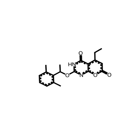 CCc1cc(=O)oc2nc(OC(C)c3c(C)cccc3C)[nH]c(=O)c12